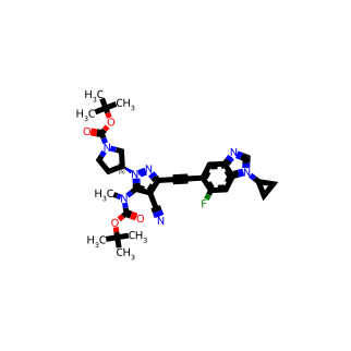 CN(C(=O)OC(C)(C)C)c1c(C#N)c(C#Cc2cc3ncn(C4CC4)c3cc2F)nn1[C@H]1CCN(C(=O)OC(C)(C)C)C1